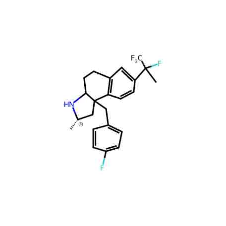 C[C@H]1CC2(Cc3ccc(F)cc3)c3ccc(C(C)(F)C(F)(F)F)cc3CCC2N1